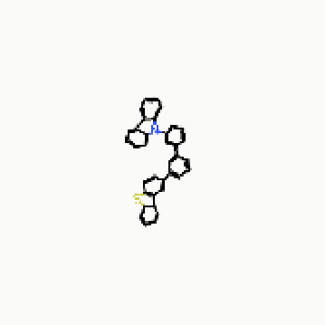 C1=CC2SC3=C(CC(c4cccc(-c5cccc(-n6c7ccccc7c7ccccc76)c5)c4)C=C3)C2C=C1